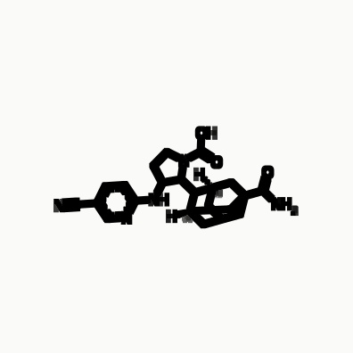 N#Cc1ccc(NC2CCN(C(=O)O)C2C2[C@@H]3CC4C[C@H]2CC(C(N)=O)(C4)C3)nc1